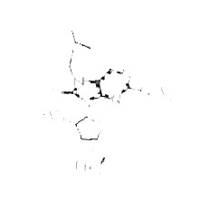 CC(C)Cn1c(=O)n([C@@H]2O[C@H](CO)C[C@H]2O)c2nc(N)ncc21